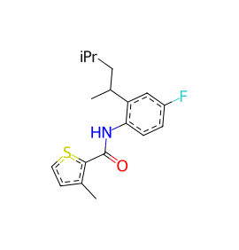 Cc1ccsc1C(=O)Nc1ccc(F)cc1C(C)CC(C)C